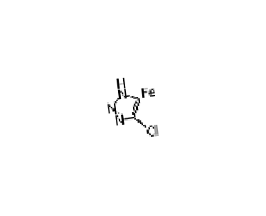 Clc1c[nH]nn1.[Fe]